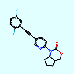 O=C1OCC2CCCC2N1c1ccc(C#Cc2cc(F)ccc2F)cn1